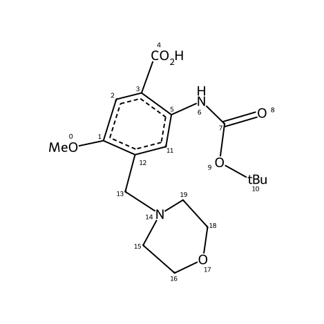 COc1cc(C(=O)O)c(NC(=O)OC(C)(C)C)cc1CN1CCOCC1